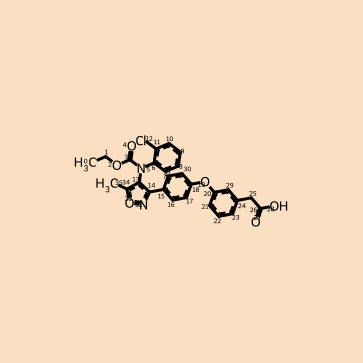 CCOC(=O)N(c1ccccc1Cl)c1c(-c2ccc(Oc3cccc(CC(=O)O)c3)cc2)noc1C